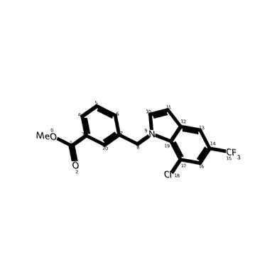 COC(=O)c1cccc(Cn2ccc3cc(C(F)(F)F)cc(Cl)c32)c1